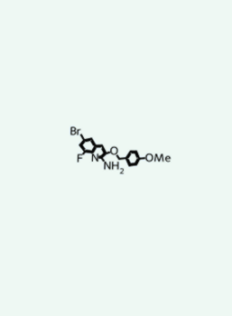 COc1ccc(COc2cc3cc(Br)cc(F)c3nc2N)cc1